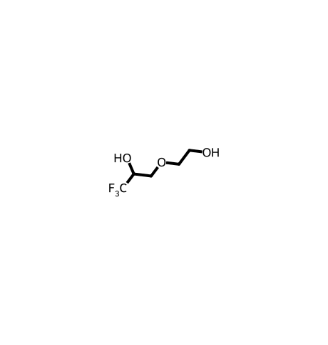 OCCOCC(O)C(F)(F)F